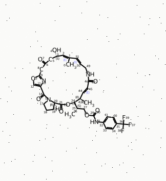 CC1=C\[C@@H](O)CC(=O)Cc2nc(co2)C(=O)N2CCC[C@@H]2C(=O)O[C@H]([C@@H](C)COC(=O)Nc2ccc(C(F)(F)F)cc2)[C@H](C)/C=C/C(=O)NC\C=C\1